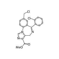 COC(=O)c1ncn2c1CN=C(c1ccccc1Cl)c1cc(CCl)ccc1-2